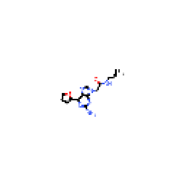 C=CCNC(=O)Cn1cnc2c(-c3ccco3)nc(N)nc21